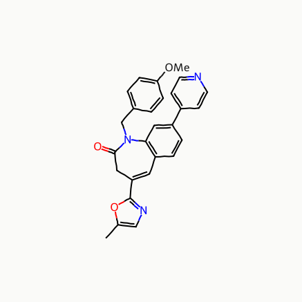 COc1ccc(CN2C(=O)CC(c3ncc(C)o3)=Cc3ccc(-c4ccncc4)cc32)cc1